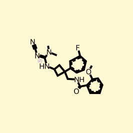 COc1ccccc1C(=O)NCC1(c2cccc(F)c2)CC(N/C(=N/C#N)N(C)C)C1